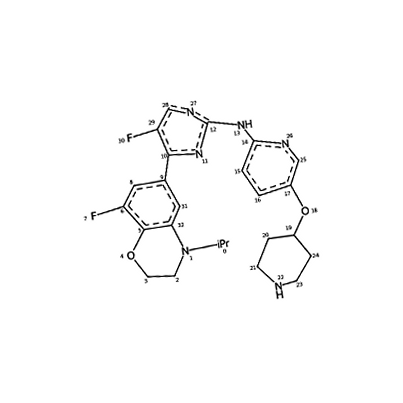 CC(C)N1CCOc2c(F)cc(-c3nc(Nc4ccc(OC5CCNCC5)cn4)ncc3F)cc21